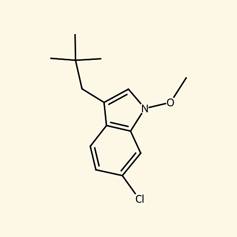 COn1cc(CC(C)(C)C)c2ccc(Cl)cc21